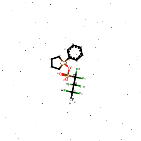 O=S(=O)(OS1(c2ccccc2)CCCC1)C(F)(F)C(F)(F)C(F)(F)C(F)(F)F